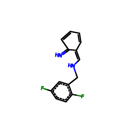 N=C1C=CC=C/C1=C/NCc1cc(F)ccc1F